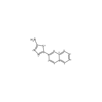 Nc1nnc(-c2ccc3ccccc3c2)s1